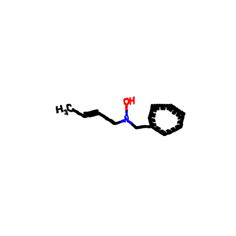 CC=CCN(O)Cc1ccccc1